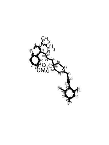 COc1ccc2ncc(N(C)C)c([C@H](F)CCC3(C(=O)O)CCN(CC#Cc4c(F)cc(F)cc4F)CC3)c2c1